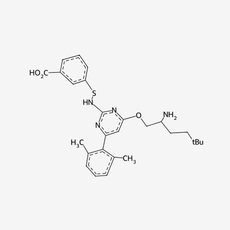 Cc1cccc(C)c1-c1cc(OCC(N)CCC(C)(C)C)nc(NSc2cccc(C(=O)O)c2)n1